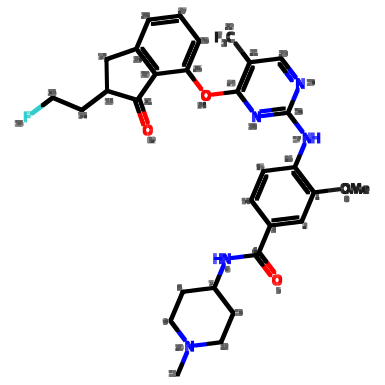 COc1cc(C(=O)NC2CCN(C)CC2)ccc1Nc1ncc(C(F)(F)F)c(Oc2cccc3c2C(=O)C(CCF)C3)n1